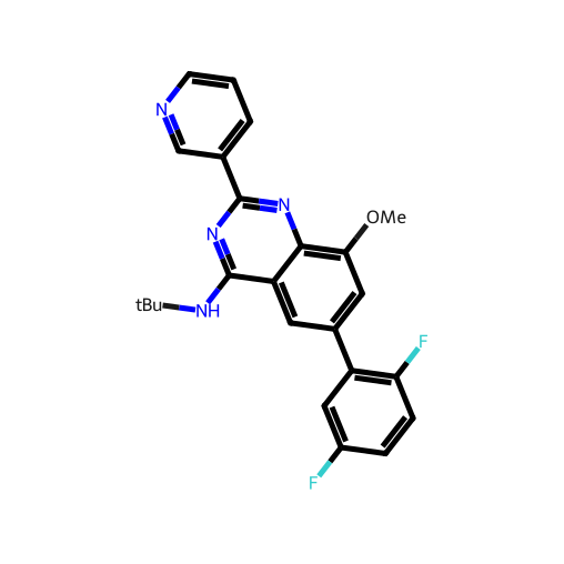 COc1cc(-c2cc(F)ccc2F)cc2c(NC(C)(C)C)nc(-c3cccnc3)nc12